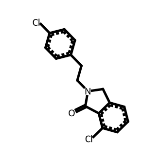 O=C1c2c(Cl)cccc2CN1CCc1ccc(Cl)cc1